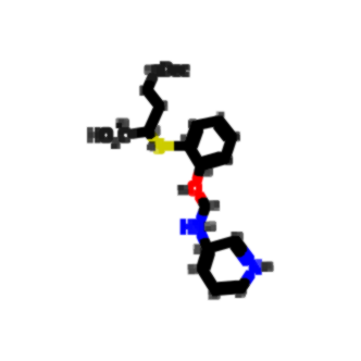 CCCCCCCCCCCCC(Sc1ccccc1OCNc1cccnc1)C(=O)O